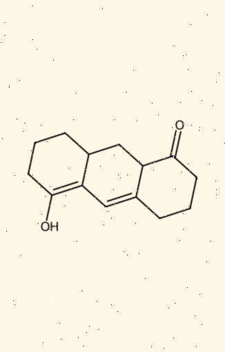 O=C1CCCC2=CC3=C(O)CCCC3CC12